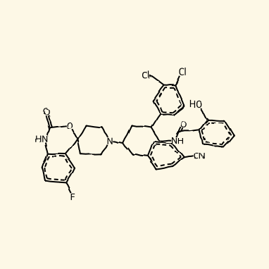 N#Cc1ccc(CC(CC(CNC(=O)c2ccccc2O)c2ccc(Cl)c(Cl)c2)N2CCC3(CC2)OC(=O)Nc2ccc(F)cc23)cc1